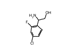 NC(CO)c1ccc(Cl)cc1F